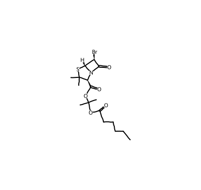 CCCCCC(=O)OC(C)(C)OC(=O)[C@@H]1N2C(=O)[C@H](Br)[C@H]2SC1(C)C